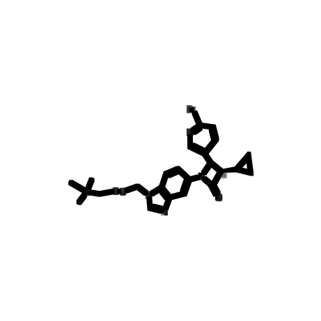 C[Si](C)(C)CCOCn1cnc2cc(N3C(=O)[C@H](C4CC4)C3c3ccc(Br)nc3)ccc21